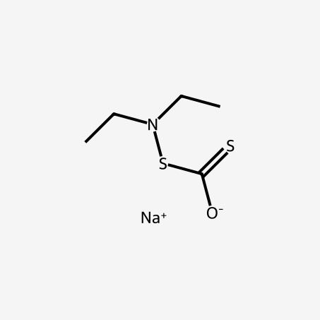 CCN(CC)SC([O-])=S.[Na+]